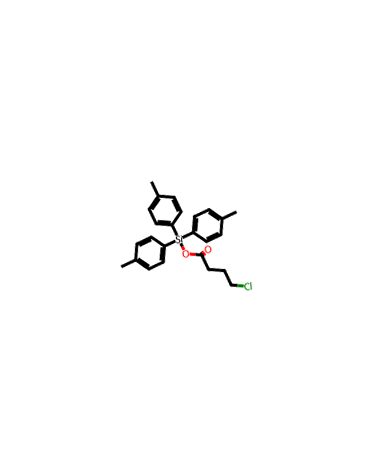 Cc1ccc([Si](OC(=O)CCCCl)(c2ccc(C)cc2)c2ccc(C)cc2)cc1